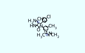 C=N/N=C(/C)N1C=C(N2C(=O)C(=N)/C(=C(/C)N)C2c2ccc(Cl)cc2)C=C(C)C1